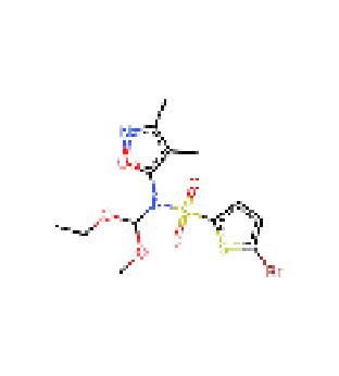 CCOC(OC)N(c1onc(C)c1C)S(=O)(=O)c1ccc(Br)s1